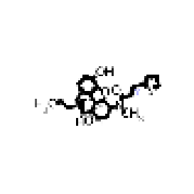 C=CCN1CC[C@]23c4c5ccc(O)c4OC2C(N(C)C(=O)/C=C/c2cccs2)CC[C@@]3(O)[C@H]1C5